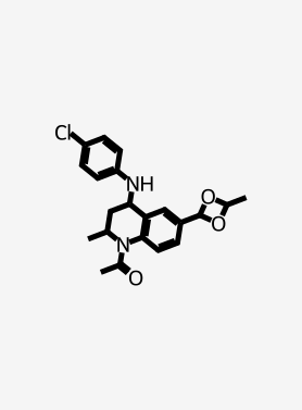 CC(=O)N1c2ccc(C3OC(C)O3)cc2C(Nc2ccc(Cl)cc2)CC1C